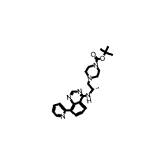 C[C@@H](CN1CCN(C(=O)OC(C)(C)C)CC1)Nc1ncnc2c(-c3ccccn3)cccc12